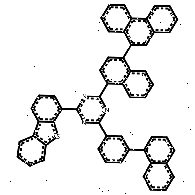 c1cc(-c2nc(-c3ccc(-c4cc5ccccc5c5ccccc45)c4ccccc34)nc(-c3cccc4c3sc3ccccc34)n2)cc(-c2cccc3ccccc23)c1